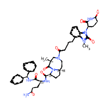 C[C@H]1CN(C(=O)CCCc2cccc3c2n(C)c(=O)n3C2CCC(=O)NC2=O)CC[C@H]2CC[C@@H](C(=O)N[C@@H](CCC(N)=O)C(=O)NC(c3ccccc3)c3ccccc3)N2C1=O